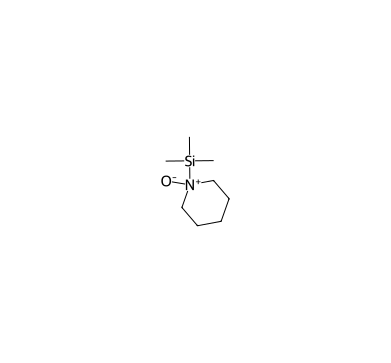 C[Si](C)(C)[N+]1([O-])CCCCC1